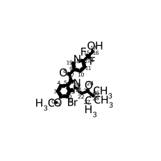 COc1ccc2c(C(=O)c3ccc(C(F)(F)CO)nc3)nn(CC(=O)C(C)(C)C)c2c1Br